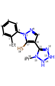 CCc1ccccc1-n1ncc(C2=NNNN2C(C)C)c1S